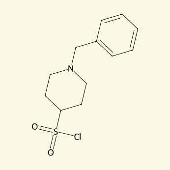 O=S(=O)(Cl)C1CCN(Cc2ccccc2)CC1